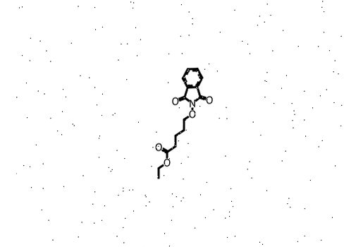 CCOC(=O)CCCCON1C(=O)c2ccccc2C1=O